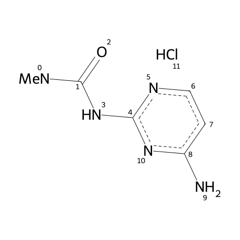 CNC(=O)Nc1nccc(N)n1.Cl